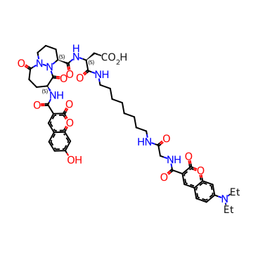 CCN(CC)c1ccc2cc(C(=O)NCC(=O)NCCCCCCCCNC(=O)[C@H](CC(=O)O)NC(=O)[C@@H]3CCCN4C(=O)CC[C@H](NC(=O)c5cc6ccc(O)cc6oc5=O)C(=O)N34)c(=O)oc2c1